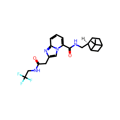 CC1(C)C2CC[C@H](CNC(=O)c3cccc4nc(CC(=O)NCC(F)(F)F)cn34)C1C2